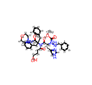 CC(C)(C)OC(=O)N(NCc1ccccc1)[C@H](Cc1c[nH]cn1)C(=O)N(C(=O)CCCO)C(Cc1ccccc1)(Cc1ccccc1)C(=O)NN1CCOCC1